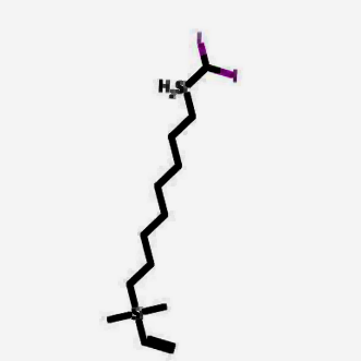 C=C[Si](C)(C)CCCCCCCC[SiH2]C(I)I